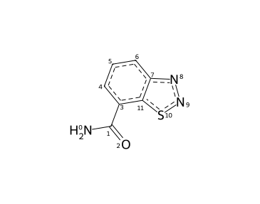 NC(=O)c1cccc2nnsc12